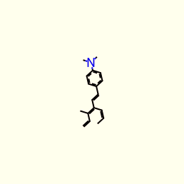 C=C/C(C)=C(\C=C/C)/C=C/c1ccc(N(C)C)cc1